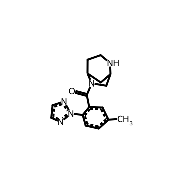 Cc1ccc(-n2nccn2)c(C(=O)N2CC3CC2CCN3)c1